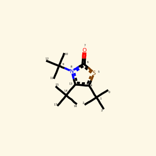 CC(C)(C)c1sc(=O)n(C(C)(C)C)c1C(C)(C)C